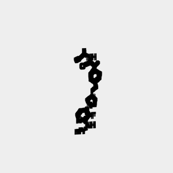 C#CC(C)NC(=O)C(C)c1ccc(CC[C@@H]2CCN(c3ccnc(NCCC)c3F)C2)cc1